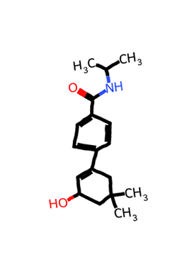 CC(C)NC(=O)c1ccc(C2=CC(O)CC(C)(C)C2)cc1